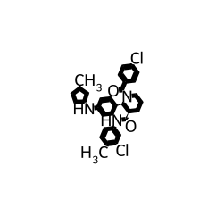 Cc1ccc(NC(=O)[C@H]2CCCN(C(=O)c3ccc(Cl)cc3)[C@H]2C2C=CC(NC3CC[C@@H](C)C3)=CC2)cc1Cl